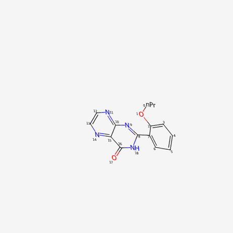 CCCOc1ccccc1-c1nc2nccnc2c(=O)[nH]1